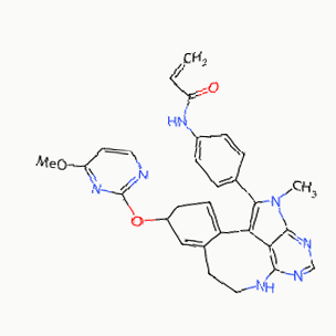 C=CC(=O)Nc1ccc(-c2c3c4c(ncnc4n2C)NCCC2=CC(Oc4nccc(OC)n4)CC=C23)cc1